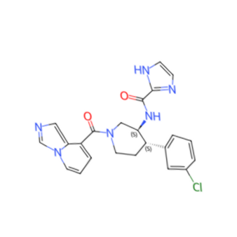 O=C(N[C@@H]1CN(C(=O)c2cccn3cncc23)CC[C@H]1c1cccc(Cl)c1)c1ncc[nH]1